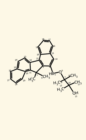 CC1(C)c2c(BOC(C)(C)C(C)(C)O)cc3ccccc3c2-c2ccc3ccccc3c21